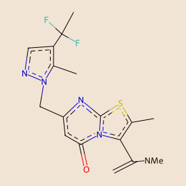 C=C(NC)c1c(C)sc2nc(Cn3ncc(C(C)(F)F)c3C)cc(=O)n12